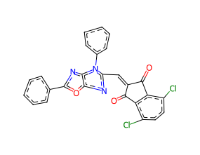 O=C1C(=Cc2nc3oc(-c4ccccc4)nc3n2-c2ccccc2)C(=O)c2c(Cl)ccc(Cl)c21